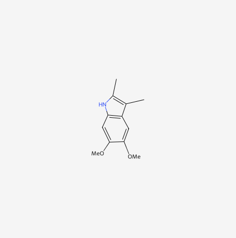 COc1cc2[nH]c(C)c(C)c2cc1OC